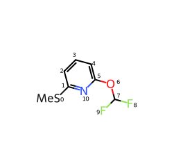 CSc1cccc(OC(F)F)n1